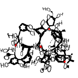 COc1cc(COC(=O)N[C@@]2(C)C[C@H](O[C@H]3[C@H](Oc4c5cc6cc4Oc4ccc(cc4Cl)[C@@H](O)[C@@H]4NC(=O)[C@H](NC(=O)[C@@H]6NC(=O)[C@H](CC(N)=O)NC(=O)[C@H](NC(=O)[C@@H](CC(C)C)N(C)C(=O)Oc6cc(OC)c(OC)cc6[N+](=O)[O-])[C@H](O)c6ccc(c(C)c6)O5)c5ccc(O)c(c5)-c5c(O)cc(O)cc5[C@@H](C(=O)O)NC4=O)O[C@H](CO)[C@@H](O)[C@@H]3O)O[C@@H](C)[C@H]2O)c([N+](=O)[O-])cc1OC